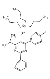 CCC[CH2][Sn]([CH]=Cc1c(-c2ccc(F)cc2)nc(-c2ccccc2)nc1C(C)C)([CH2]CCC)[CH2]CCC